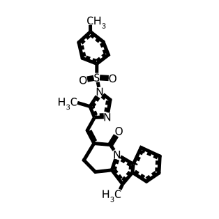 Cc1ccc(S(=O)(=O)n2cnc(C=C3CCc4c(C)c5ccccc5n4C3=O)c2C)cc1